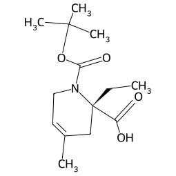 CC[C@@]1(C(=O)O)CC(C)=CCN1C(=O)OC(C)(C)C